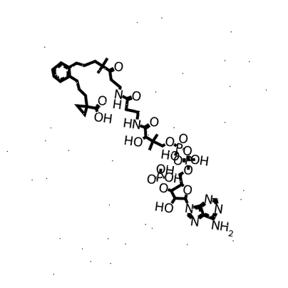 CC(C)(CCCc1ccccc1CCCC1(C(=O)O)CC1)C(=O)CCNC(=O)CCNC(=O)C(O)C(C)(C)COP(=O)(O)OP(=O)(O)OCC1OC(n2cnc3c(N)ncnc32)C(O)C1OP(=O)(O)O